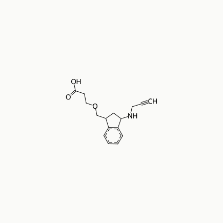 C#CCNC1CC(COCCC(=O)O)c2ccccc21